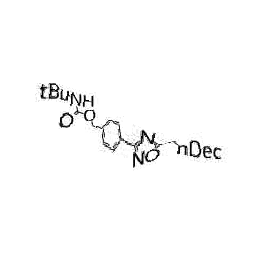 CCCCCCCCCCCc1nc(-c2ccc(COC(=O)NC(C)(C)C)cc2)no1